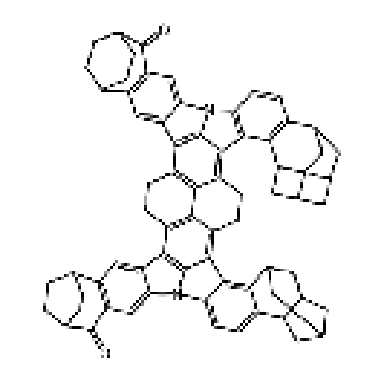 O=C1c2cc3c(cc2C2CCC1CC2)c1c2c4c(c5c6c7c(ccc6n3c15)C1CC3CC7CC1C3)CCc1c-4c(c3c4cc5c(cc4n4c6ccc7c(c6c1c34)C1CC3CC4CC7CC431)C(=O)C1CCC5CC1)CC2